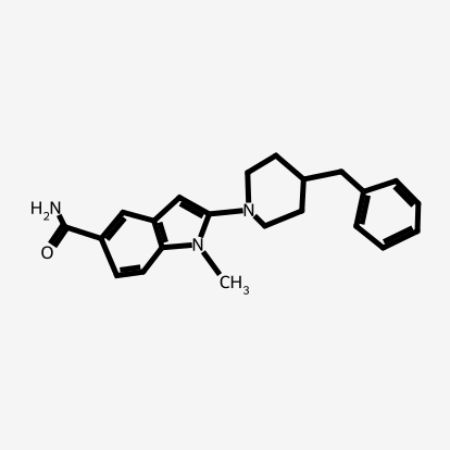 Cn1c(N2CCC(Cc3ccccc3)CC2)cc2cc(C(N)=O)ccc21